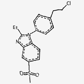 CCc1nc2cc(S(C)(=O)=O)ccc2n1-c1ccc(CCCl)cc1